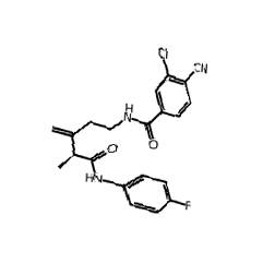 C=C(CCNC(=O)c1ccc(C#N)c(Cl)c1)[C@H](C)C(=O)Nc1ccc(F)cc1